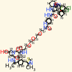 Cc1ncsc1-c1ccc([C@H](C)NC(=O)[C@@H]2C[C@@H](O)CN2C(=O)C(NC(=O)CCOCCOCCOCCNC(=O)c2ccc(NC(=O)[C@@H]3NC4(CCCCC4)[C@@]4(C(=O)Nc5cc(Cl)ccc54)[C@H]3c3cccc(Cl)c3F)cc2)C(C)(C)C)cc1